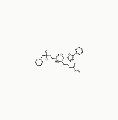 NC(=O)CCC[C@@H](NC(=O)[CH]CS(=O)(=O)Cc1ccccc1)C(=O)c1nnc(-c2ccccc2)o1